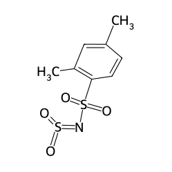 Cc1ccc(S(=O)(=O)N=S(=O)=O)c(C)c1